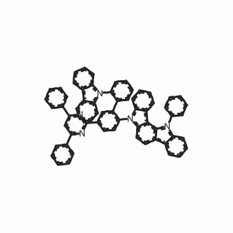 c1ccc(-c2cc(-c3ccccc3)nc(-c3ccc(-n4c5ccccc5c5c4ccc4c6ccccc6n(-c6ccccc6)c45)c(-c4ccccc4-n4c5ccccc5c5ccccc54)c3)n2)cc1